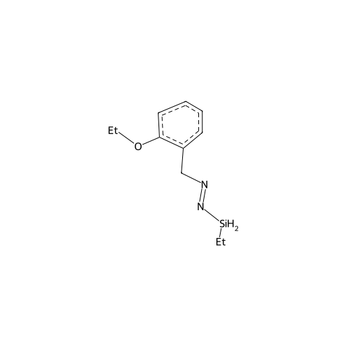 CCOc1ccccc1CN=N[SiH2]CC